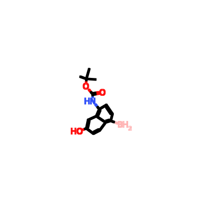 Bc1ccc(NC(=O)OC(C)(C)C)c2cc(O)ccc12